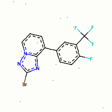 Fc1ccc(-c2cccn3nc(Br)nc23)cc1C(F)(F)F